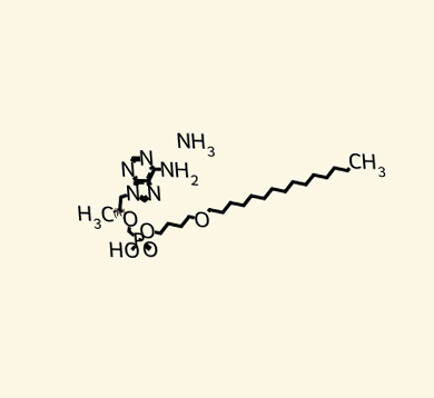 CCCCCCCCCCCCCCCOCCCCOP(=O)(O)CO[C@H](C)Cn1cnc2c(N)ncnc21.N